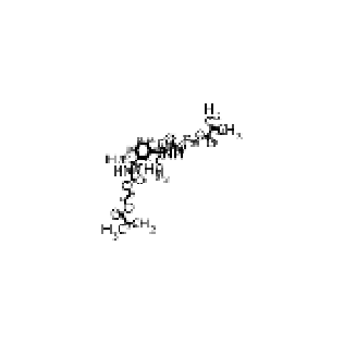 C=C(C)C(=O)OCCOC(=O)NC(C)(C)c1cccc(C(C)(C)NC(=O)OCCOC(=O)C(=C)C)c1